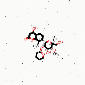 CO[C@@H]1[C@H](O)[C@@H](OC2CCCCO2)[C@H](c2ccc3c(O)cc(=O)oc3c2C)O[C@]1(C)CO